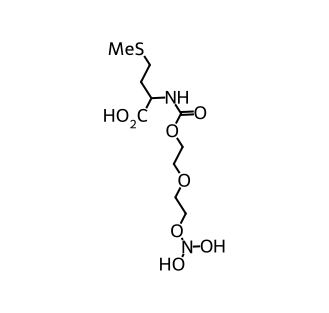 CSCCC(NC(=O)OCCOCCON(O)O)C(=O)O